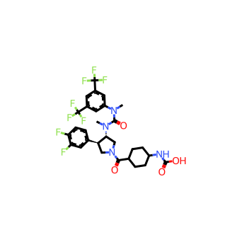 CN(C(=O)N(C)[C@@H]1CN(C(=O)C2CCC(NC(=O)O)CC2)C[C@H]1c1ccc(F)c(F)c1)c1cc(C(F)(F)F)cc(C(F)(F)F)c1